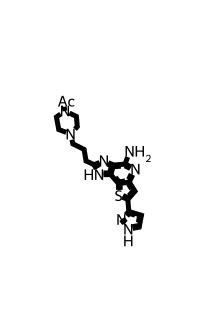 CC(=O)N1CCN(CCCc2nc3c(N)nc4cc(-c5cc[nH]n5)sc4c3[nH]2)CC1